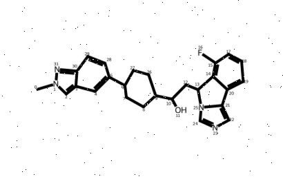 Cn1cc2cc(C3CCC(C(O)CC4c5c(F)cccc5-c5cncn54)CC3)ccc2n1